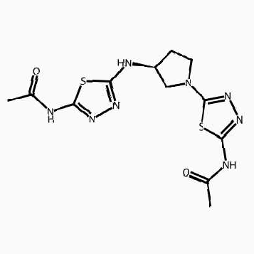 CC(=O)Nc1nnc(N[C@H]2CCN(c3nnc(NC(C)=O)s3)C2)s1